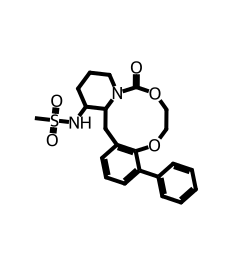 CS(=O)(=O)NC1CCCN2C(=O)OCCOc3c(cccc3-c3ccccc3)CC12